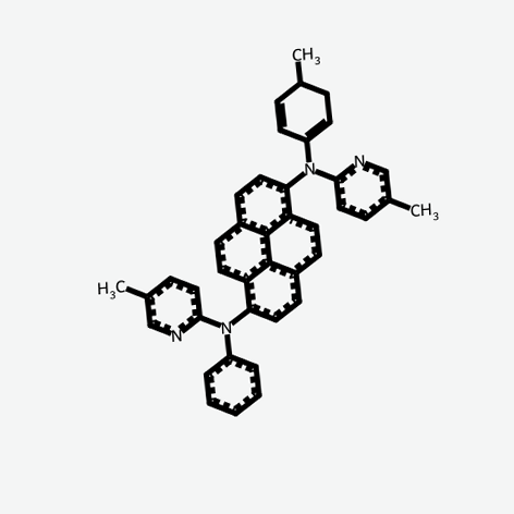 Cc1ccc(N(C2=CCC(C)C=C2)c2ccc3ccc4c(N(c5ccccc5)c5ccc(C)cn5)ccc5ccc2c3c54)nc1